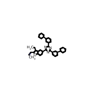 C=Cc1c(/C=C\C)oc2ccc(-c3nc(-c4cccc(-c5ccccc5)c4)nc(-c4cccc(-c5ccccc5)c4)n3)cc12